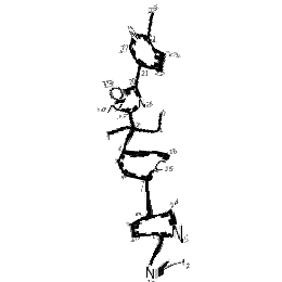 CCC(C)(c1ccc(-c2ccc(N)nc2)cc1)c1noc(-c2ccc(C)nc2)n1